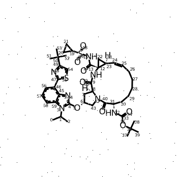 CC(C)n1c(O[C@@H]2C[C@H]3C(=O)N[C@]4(C(=O)NS(=O)(=O)C5CC5)C[C@H]4/C=C\CCCCC[C@H](NC(=O)OC(C)(C)C)C(=O)N3C2)nc2c(-c3nc(C(C)(C)C)cs3)cccc21